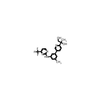 Cc1cc(Nc2nccc(C(F)(F)F)n2)cc(-c2ccc(C(C)(O)CO)nc2)c1